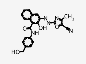 Cc1nc(/N=N/c2cc3ccccc3c(C(=O)Nc3ccc(CO)cc3)c2O)oc1C#N